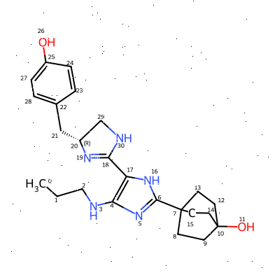 CCCNc1nc(C23CCC(O)(CC2)CC3)[nH]c1C1=N[C@H](Cc2ccc(O)cc2)CN1